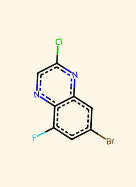 Fc1cc(Br)cc2nc(Cl)cnc12